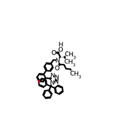 CCCCC(=O)N(Cc1ccc(-c2ccccc2-c2nnnn2C(c2ccccc2)(c2ccccc2)c2ccccc2)cc1)[C@H](C(=O)O)C(C)C